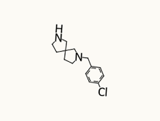 Clc1ccc(CN2CCC3(CCNC3)C2)cc1